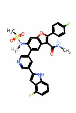 CNC(=O)c1c(-c2ccc(F)cc2)oc2cc(N(C)S(C)(=O)=O)c(-c3cncc(-c4cc5c(F)cccc5[nH]4)c3)cc12